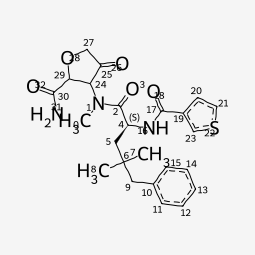 CN(C(=O)[C@H](CC(C)(C)Cc1ccccc1)NC(=O)c1ccsc1)C1C(=O)COC1C(N)=O